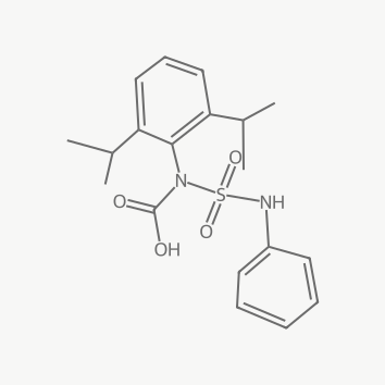 CC(C)c1cccc(C(C)C)c1N(C(=O)O)S(=O)(=O)Nc1ccccc1